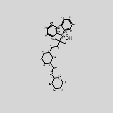 CC(C)(CC[C@@H]1CCC[C@H](COC2CCCCO2)C1)[Si](O)(c1ccccc1)c1ccccc1